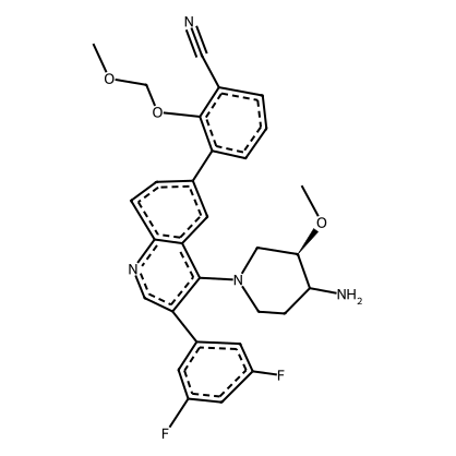 COCOc1c(C#N)cccc1-c1ccc2ncc(-c3cc(F)cc(F)c3)c(N3CCC(N)[C@H](OC)C3)c2c1